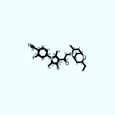 CCC1CC2CC(CC(C)N2CC(=O)c2c(F)c(C)n(-c3ccc(C#N)c(F)c3)c2C)O1